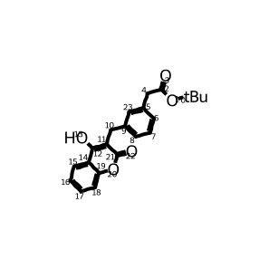 CC(C)(C)OC(=O)Cc1cccc(Cc2c(O)c3ccccc3oc2=O)c1